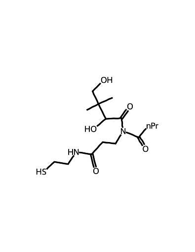 CCCC(=O)N(CCC(=O)NCCS)C(=O)C(O)C(C)(C)CO